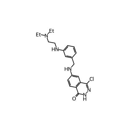 CCN(CC)CCNc1cccc(CNc2ccc3c(=O)[nH]nc(Cl)c3c2)c1